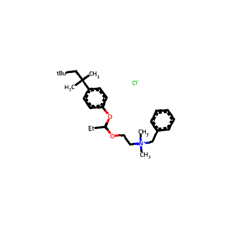 CCC(OCC[N+](C)(C)Cc1ccccc1)Oc1ccc(C(C)(C)CC(C)(C)C)cc1.[Cl-]